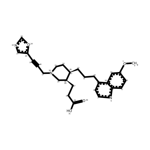 COc1ccc2nccc(CCC[C@@H]3CCN(CC#Cc4cnco4)C[C@@H]3CCC(=O)O)c2c1